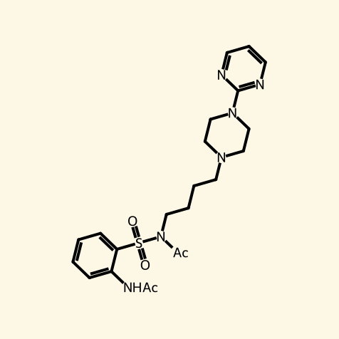 CC(=O)Nc1ccccc1S(=O)(=O)N(CCCCN1CCN(c2ncccn2)CC1)C(C)=O